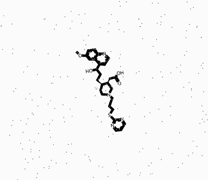 COc1ccc2nccc(C(O)CC[C@@H]3CCN(CCCSc4ncccn4)C[C@@H]3CC(=O)O)c2c1